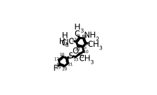 Cc1c(C)c2c(c(C)c1N)CC(C)(CSc1ccc(F)cc1)O2.Cl